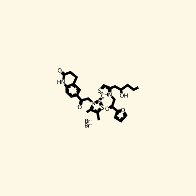 CCCC(O)Cc1cs[c+](-[c+]2sc(C)c(C)n2CC(=O)c2ccc3c(c2)CCC(=O)N3)n1CC(=O)c1ccco1.[Br-].[Br-]